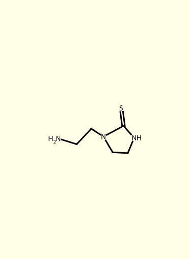 NCCN1CCNC1=S